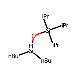 CCCC[SiH](CCCC)O[Si](C(C)C)(C(C)C)C(C)C